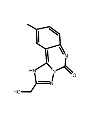 Cc1ccc2nc(=O)n3nc(CO)[nH]c3c2c1